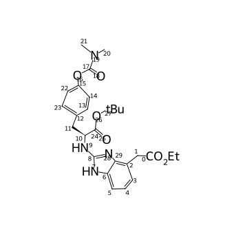 CCOC(=O)Cc1cccc2[nH]c(N[C@@H](Cc3ccc(OC(=O)N(C)C)cc3)C(=O)OC(C)(C)C)nc12